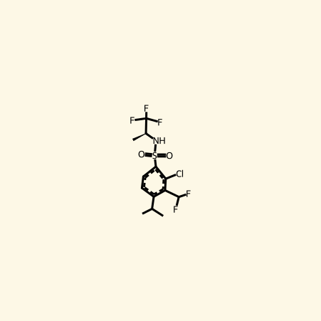 CC(C)c1ccc(S(=O)(=O)N[C@@H](C)C(F)(F)F)c(Cl)c1C(F)F